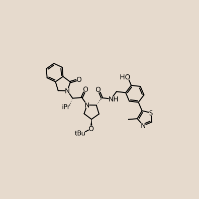 Cc1ncsc1-c1ccc(O)c(CNC(=O)[C@@H]2C[C@@H](OC(C)(C)C)CN2C(=O)[C@H](C(C)C)N2Cc3ccccc3C2=O)c1